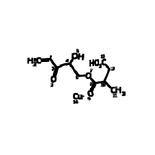 C=CC(=O)C(O)COC(=O)C(C)CC(=O)O.[Cu]